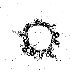 CCCC[C@H]1C(=O)N2CCC[C@@H]2C(=O)N[C@@H](CC(=O)O)C(=O)N[C@@H](C(C)C)C(=O)N(C)[C@@H](C(C)C)C(=O)N[C@@H](CCC(N)=O)C(=O)N2CCCC[C@@H]2C(=O)N[C@@H](Cc2c[nH]c3ccccc23)C(=O)N[C@@H](Cc2ccc(O)cc2)C(=O)N[C@@H](CCCN)C(=O)N[C@H](C(=O)NCC(N)=O)CSCC(=O)N[C@@H](Cc2ccc(F)cc2)C(=O)N(C)[C@@H](Cc2ccccc2)C(=O)N1C